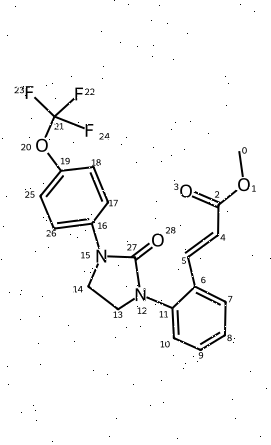 COC(=O)/C=C/c1ccccc1N1CCN(c2ccc(OC(F)(F)F)cc2)C1=O